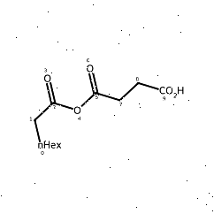 CCCCCCCC(=O)OC(=O)CCC(=O)O